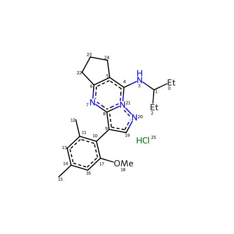 CCC(CC)Nc1c2c(nc3c(-c4c(C)cc(C)cc4OC)cnn13)CCC2.Cl